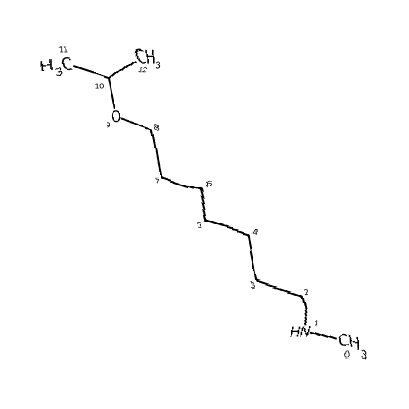 CNCCCCCCCOC(C)C